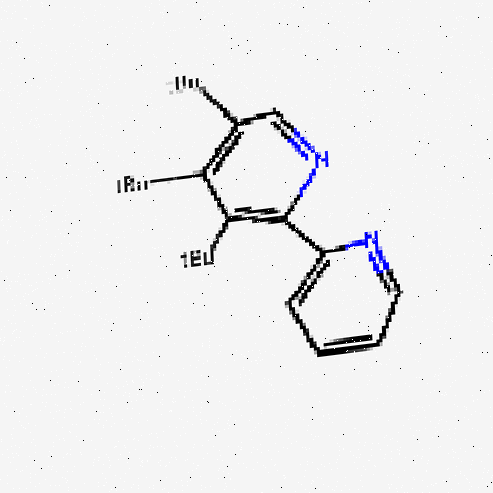 CC(C)(C)c1cnc(-c2ccccn2)c(C(C)(C)C)c1C(C)(C)C